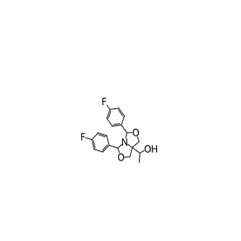 CC(O)C12COC(c3ccc(F)cc3)N1C(c1ccc(F)cc1)OC2